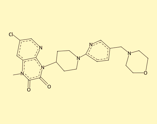 Cn1c(=O)c(=O)n(C2CCN(c3ccc(CN4CCOCC4)cn3)CC2)c2ncc(Cl)cc21